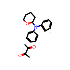 CC(=O)C(C)=O.c1ccc(N(c2ccccc2)C2CCCCO2)cc1